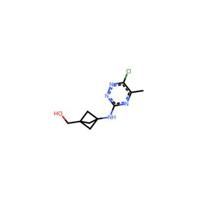 Cc1nc(NC23CC(CO)(C2)C3)nnc1Cl